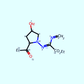 C=N/C(=N\N1CC(O)CC1C(=O)CC)C(=O)OCC